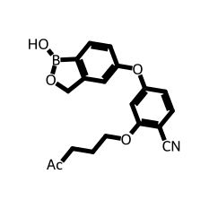 CC(=O)CCCOc1cc(Oc2ccc3c(c2)COB3O)ccc1C#N